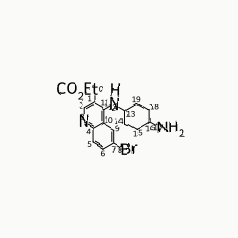 CCOC(=O)c1cnc2ccc(Br)cc2c1NC1CCC(N)CC1